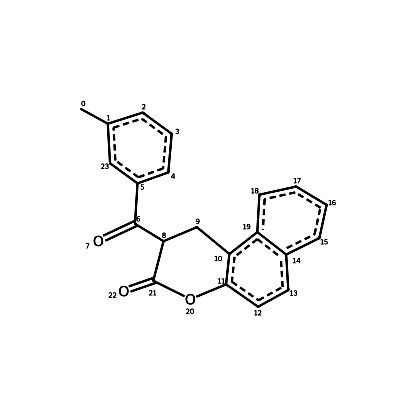 Cc1cccc(C(=O)C2Cc3c(ccc4ccccc34)OC2=O)c1